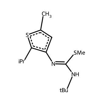 CS/C(=N\c1cc(C)sc1C(C)C)NC(C)(C)C